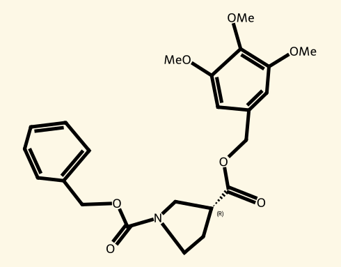 COc1cc(COC(=O)[C@@H]2CCN(C(=O)OCc3ccccc3)C2)cc(OC)c1OC